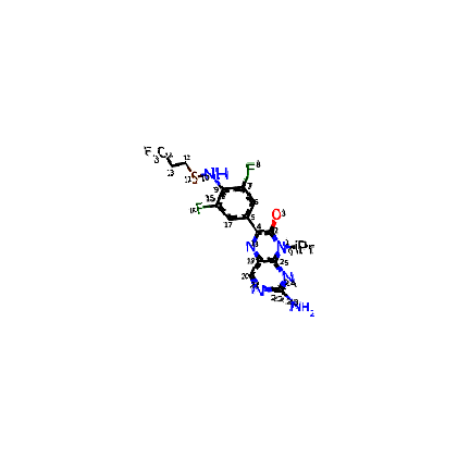 CC(C)n1c(=O)c(-c2cc(F)c(NSCCC(F)(F)F)c(F)c2)nc2cnc(N)nc21